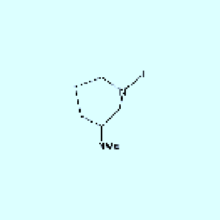 CNC1CCCN(I)C1